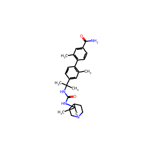 Cc1cc(C(N)=O)ccc1-c1ccc(C(C)(C)NC(=O)NC2(C)CN3CCC2CC3)cc1C